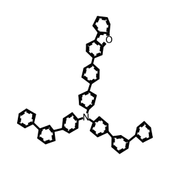 c1ccc(-c2cccc(-c3ccc(N(c4ccc(-c5ccc(-c6ccc7c(c6)oc6ccccc67)cc5)cc4)c4ccc(-c5cccc(-c6ccccc6)c5)cc4)cc3)c2)cc1